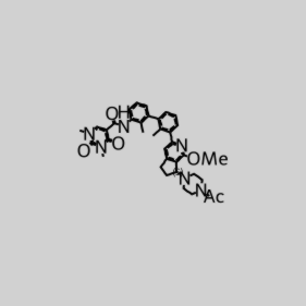 COc1nc(-c2cccc(-c3cccc(NC(=O)c4cn(C)c(=O)n(C)c4=O)c3C)c2C)cc2c1[C@@H](N1CCN(C(C)=O)CC1)CC2